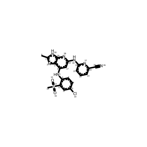 Cc1nc2c(Nc3ccc(Cl)cc3S(C)(=O)=O)cc(Nc3cccc(C#N)n3)nc2[nH]1